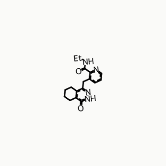 CCNC(=O)c1ncccc1Cc1n[nH]c(=O)c2c1CCCC2